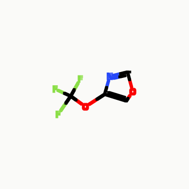 FC(F)(F)Oc1co[c]n1